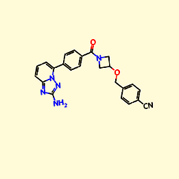 N#Cc1ccc(COC2CN(C(=O)c3ccc(-c4cccc5nc(N)nn45)cc3)C2)cc1